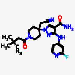 CC(C)(C)CC(=O)N1CCC(CC#N)(n2cc(C(N)=O)c(Nc3ccnc(F)c3)n2)CC1